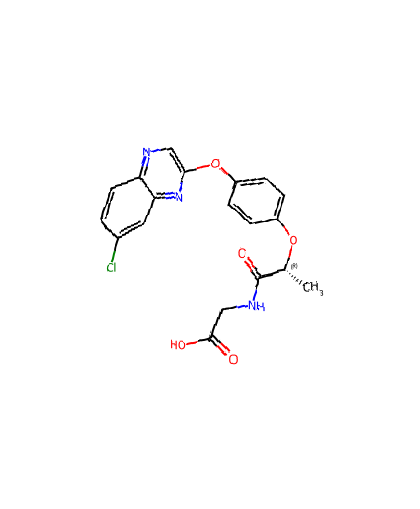 C[C@@H](Oc1ccc(Oc2cnc3ccc(Cl)cc3n2)cc1)C(=O)NCC(=O)O